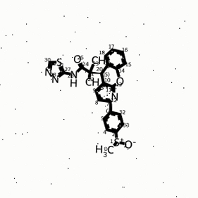 C[S+]([O-])c1ccc(-c2ccc3c(n2)Oc2ccccc2[C@@H]3C(C)(C)C(=O)Nc2nncs2)cc1